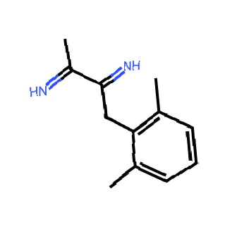 CC(=N)C(=N)Cc1c(C)cccc1C